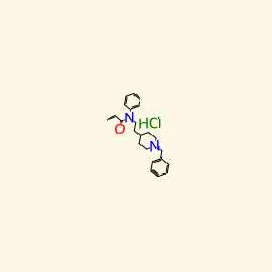 C=CC(=O)N(CCC1CCN(Cc2ccccc2)CC1)c1ccccc1.Cl